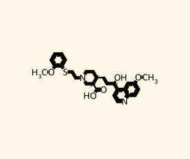 COc1ccc2nccc([C@H](O)CC[C@@H]3CCN(CCSc4ccccc4OC)C[C@@H]3C(=O)O)c2c1